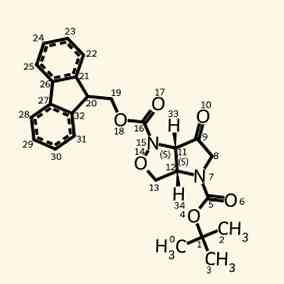 CC(C)(C)OC(=O)N1CC(=O)[C@@H]2[C@H]1CON2C(=O)OCC1c2ccccc2-c2ccccc21